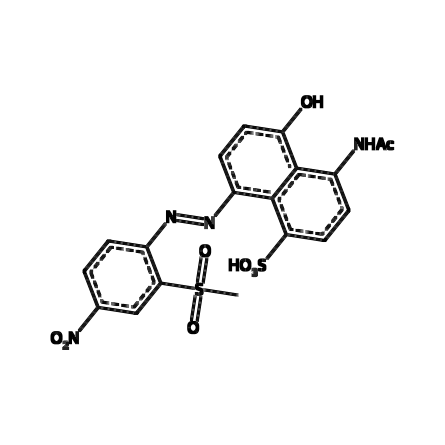 CC(=O)Nc1ccc(S(=O)(=O)O)c2c(N=Nc3ccc([N+](=O)[O-])cc3S(C)(=O)=O)ccc(O)c12